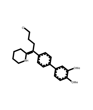 COc1ccc(-c2ccc(C(CCCCl)=C3CCCCN3)cc2)cc1OC